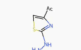 CC(=O)c1csc(NN)n1